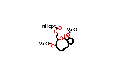 CCCCCCCC(=O)OCC[C@@H]1C[C@H](OCOC)CC/C=C/Cc2cccc(OCOC)c2C(=O)O1